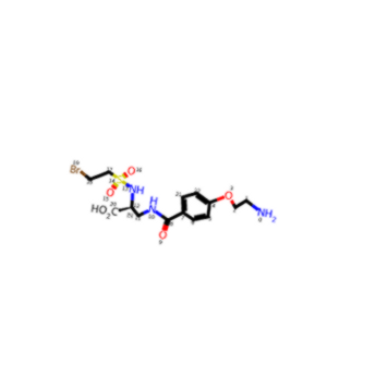 NCCOc1ccc(C(=O)NC[C@H](NS(=O)(=O)CCBr)C(=O)O)cc1